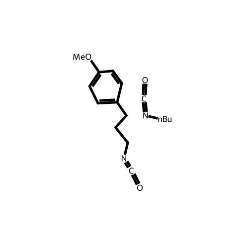 CCCCN=C=O.COc1ccc(CCCN=C=O)cc1